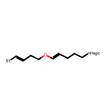 CCC=CCCOC=CCCCCCCCCCC